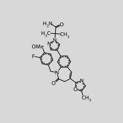 COc1ccc(CN2C(=O)CC(c3ncc(C)o3)=Cc3ccc(-c4cnn(C(C)(C)C(N)=O)c4)cc32)cc1F